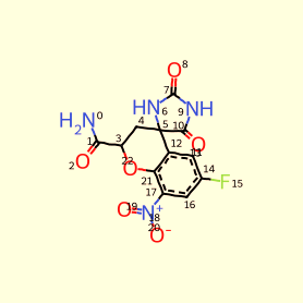 NC(=O)C1CC2(NC(=O)NC2=O)c2cc(F)cc([N+](=O)[O-])c2O1